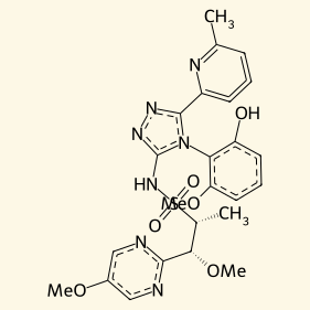 COc1cnc([C@@H](OC)[C@@H](C)S(=O)(=O)Nc2nnc(C3=C=C=CC(C)=N3)n2-c2c(O)cccc2OC)nc1